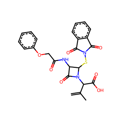 C=C(C)C(C(=O)O)N1C(=O)C(NC(=O)COc2ccccc2)C1SN1C(=O)c2ccccc2C1=O